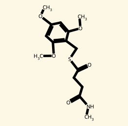 CNC(=O)CCC(=O)SCc1c(OC)cc(OC)cc1OC